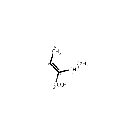 CC=C(C)C(=O)O.[CaH2]